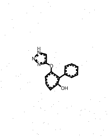 Oc1cccc(Oc2c[nH]nn2)c1-c1ccccc1